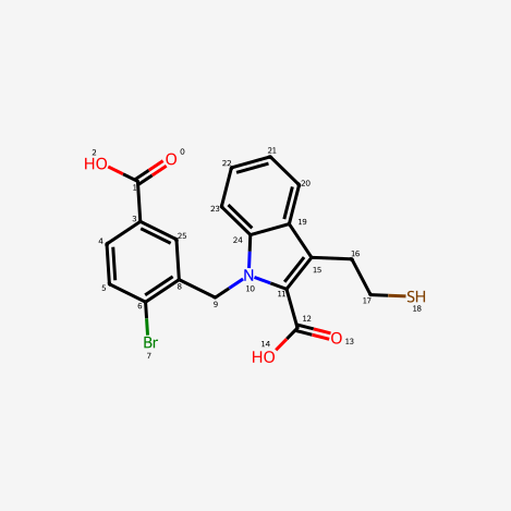 O=C(O)c1ccc(Br)c(Cn2c(C(=O)O)c(CCS)c3ccccc32)c1